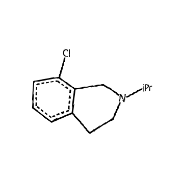 CC(C)N1CCc2cccc(Cl)c2C1